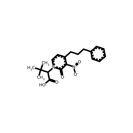 CC(C)(C)C(C(=O)O)n1ccc(CCCc2ccccc2)c([N+](=O)[O-])c1=O